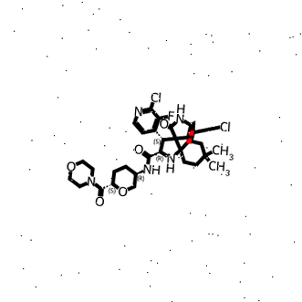 CC1(C)CCC2(CC1)N[C@@H](C(=O)N[C@@H]1CC[C@@H](C(=O)N3CCOCC3)OC1)[C@H](c1ccnc(Cl)c1F)C21C(=O)Nc2cc(Cl)ccc21